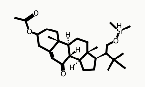 CC(=O)OC1CC[C@@]2(C)C(=CC(=O)[C@H]3[C@@H]4CC[C@H](C(CO[SiH](C)C)C(C)(C)C)[C@@]4(C)CC[C@@H]32)C1